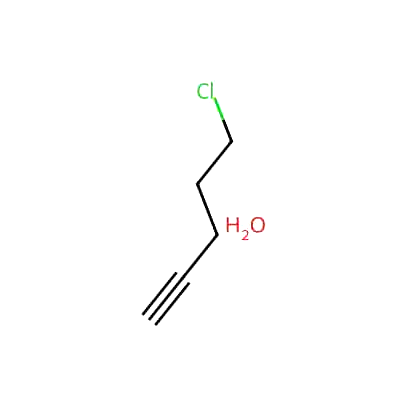 C#CCCCCl.O